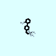 Cc1ccccc1-c1ccc(/C=C\[Si](C)(C)C)cc1